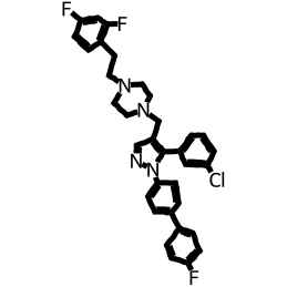 Fc1ccc(-c2ccc(-n3ncc(CN4CCN(CCc5ccc(F)cc5F)CC4)c3-c3cccc(Cl)c3)cc2)cc1